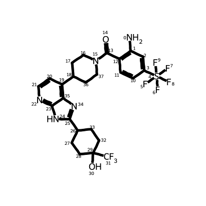 Nc1cc(S(F)(F)(F)(F)F)ccc1C(=O)N1CCC(c2ccnc3[nH]c(C4CCC(O)(C(F)(F)F)CC4)nc23)CC1